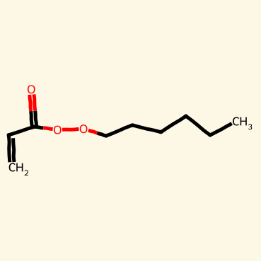 C=CC(=O)OOCCCCCC